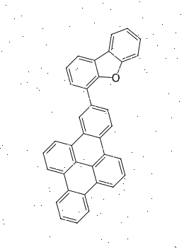 c1ccc2c(c1)oc1c(-c3ccc4c(c3)c3cccc5c6ccccc6c6cccc4c6c53)cccc12